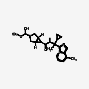 Cc1cccn2c(C(C)(NC(=O)[C@H]3[C@@H]4CN(C(O)OC(C)(C)C)C[C@@H]43)C3CC3)ncc12